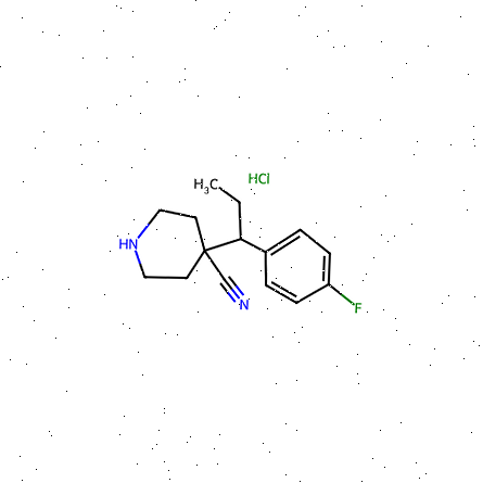 CCC(c1ccc(F)cc1)C1(C#N)CCNCC1.Cl